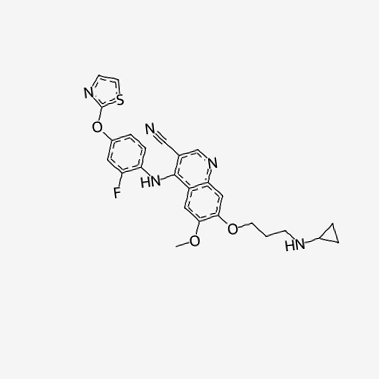 COc1cc2c(Nc3ccc(Oc4nccs4)cc3F)c(C#N)cnc2cc1OCCCNC1CC1